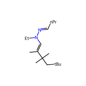 CCC/C=N/N(/C=C(\C)C(C)(C)CC(C)(C)C)CC